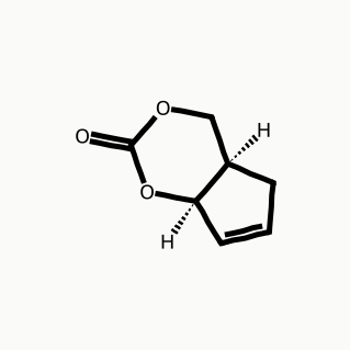 O=C1OC[C@H]2CC=C[C@H]2O1